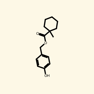 CC1(C(=O)OCc2ccc(O)cc2)CCCCC1